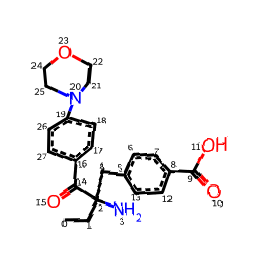 CCC(N)(Cc1ccc(C(=O)O)cc1)C(=O)c1ccc(N2CCOCC2)cc1